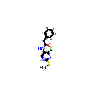 CSc1ncc(NC(=O)Cc2ccccc2)c(Cl)n1